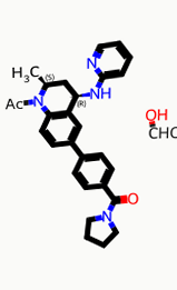 CC(=O)N1c2ccc(-c3ccc(C(=O)N4CCCC4)cc3)cc2[C@H](Nc2ccccn2)C[C@@H]1C.O=CO